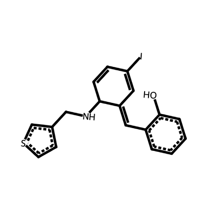 Oc1ccccc1C=C1C=C(I)C=CC1NCc1ccsc1